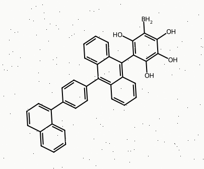 Bc1c(O)c(O)c(O)c(-c2c3ccccc3c(-c3ccc(-c4cccc5ccccc45)cc3)c3ccccc23)c1O